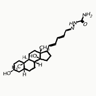 C[C@]12CC[C@H](O)C[C@H]1CC[C@@H]1[C@@H]2CC[C@]2(C)[C@@H](/C=C/C=C/C=N/NC(N)=O)CC[C@]12O